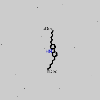 CCCCCCCCCCCCCCCCc1ccc2c(c1)[nH]c1cc(CCCCCCCCCCCCCCCC)ccc12